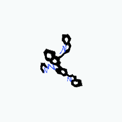 c1ccc(-n2c3ccc(-c4ccc5ccccc5n4)cc3c3cc(-c4ccc5ccccc5n4)c4ccccc4c32)nc1